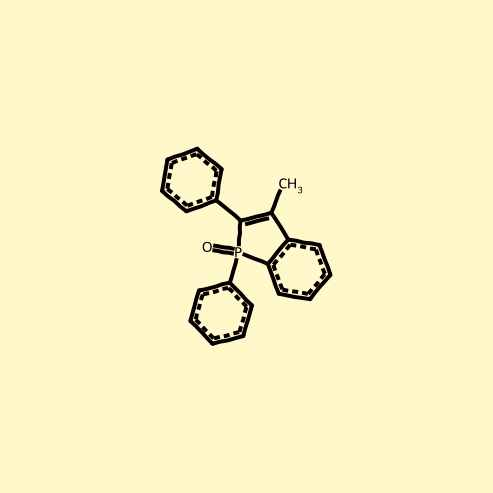 CC1=C(c2ccccc2)P(=O)(c2ccccc2)c2ccccc21